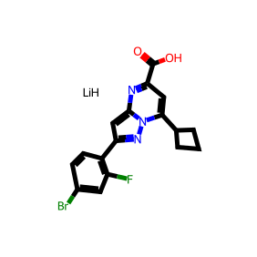 O=C(O)c1cc(C2CCC2)n2nc(-c3ccc(Br)cc3F)cc2n1.[LiH]